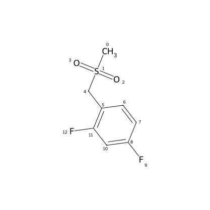 CS(=O)(=O)Cc1ccc(F)cc1F